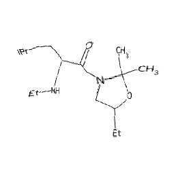 CCNC(CC(C)C)C(=O)N1CC(CC)OC1(C)C